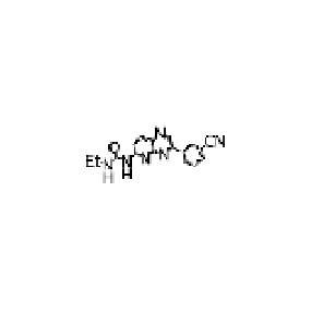 CCNC(=O)Nc1ccc2ncc(-c3cccc(C#N)c3)nc2n1